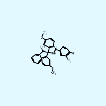 O=C(NC(c1cccc(OC(F)(F)F)c1)(c1cccc(OC(F)(F)F)c1)[C@H](O)c1ccccc1)c1ccc(F)c(C(F)(F)F)c1